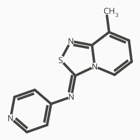 Cc1cccn2c(=Nc3ccncc3)snc12